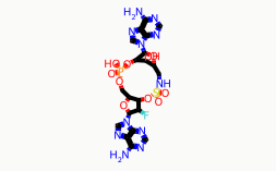 Nc1ncnc2c1ncn2C1OC2COP(=O)(O)OC3C(O)C(CNS(=O)(=O)OC2C1F)OC3n1cnc2c(N)ncnc21